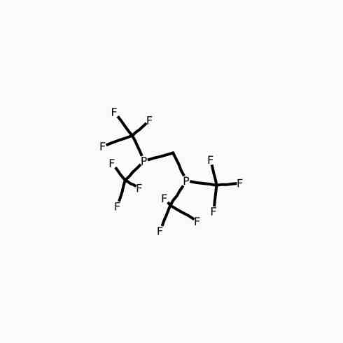 FC(F)(F)P(CP(C(F)(F)F)C(F)(F)F)C(F)(F)F